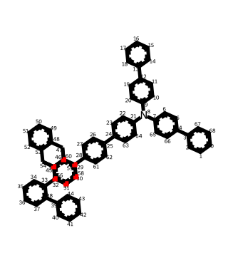 c1ccc(-c2ccc(N(c3ccc(-c4ccccc4)cc3)c3ccc(-c4ccc(-c5ccc(-c6ccccc6-c6ccccc6)c6c5C5c7ccccc7C6c6ccccc65)cc4)cc3)cc2)cc1